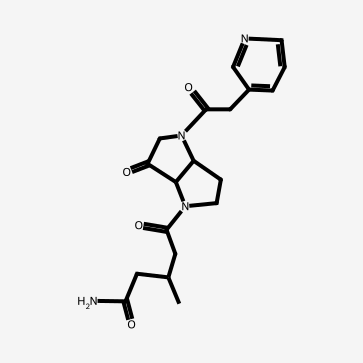 CC(CC(N)=O)CC(=O)N1CCC2C1C(=O)CN2C(=O)Cc1cccnc1